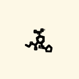 CCOC(=O)c1cc([N+](=O)[O-])ccc1NC1CCCC1